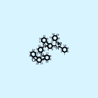 c1ccc(-c2nc(-c3ccc4c(c3)c3ccccc3n4-c3cccc(-n4c5ccccc5c5ccc6oc7ccccc7c6c54)c3)n(-c3ccccc3)n2)cc1